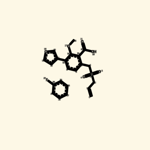 C=CCS(=O)(=O)Cc1ccc(-c2ccoc2)c(OC)c1C(=O)O.Fc1ccccc1